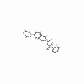 O=C(CS(=O)(=O)c1ccccn1)N1Cc2ccc(N3CCOCC3)cc2C1